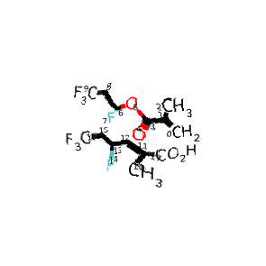 C=C(C)C(=O)OC(F)CC(F)(F)F.CC(=CC(F)CC(F)(F)F)C(=O)O